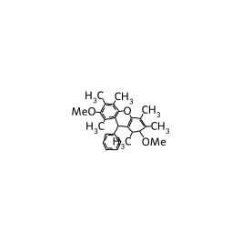 COc1c(C)c(C)c2c(c1C)C(c1ccccc1)C1=C(O2)C(C)=C(C)C(OC)C1C